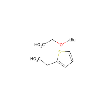 CC(C)(C)OCC(=O)O.O=C(O)Cc1cccs1